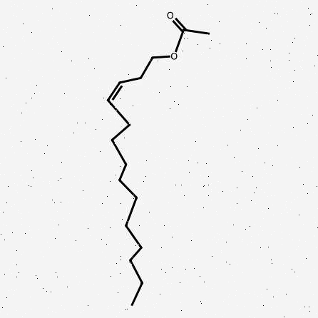 CCCCCCCCCC/C=C\CCOC(C)=O